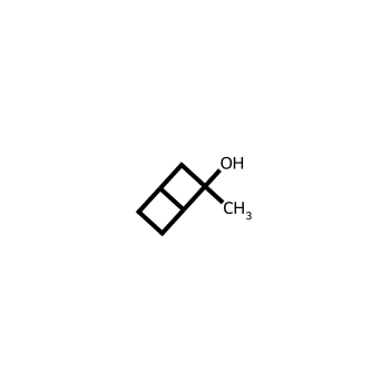 CC1(O)CC2CCC21